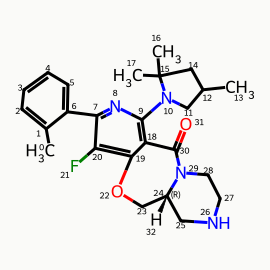 Cc1ccccc1-c1nc(N2CC(C)CC2(C)C)c2c(c1F)OC[C@H]1CNCCN1C2=O